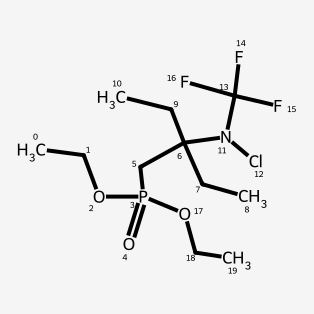 CCOP(=O)(CC(CC)(CC)N(Cl)C(F)(F)F)OCC